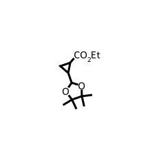 CCOC(=O)C1CC1C1OC(C)(C)C(C)(C)O1